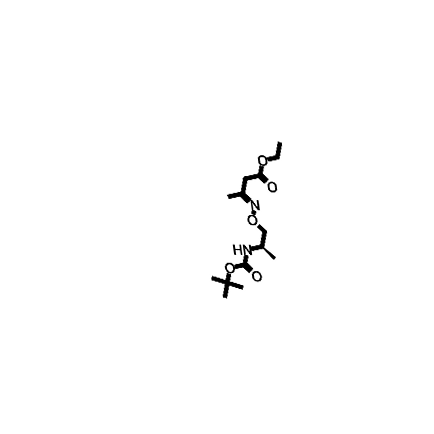 CCOC(=O)CC(C)=NOC[C@@H](C)NC(=O)OC(C)(C)C